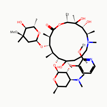 CCOc1ncccc1O[C@H]1[C@H](O[C@@H]2[C@@H](C)[C@H](O[C@H]3C[C@@](C)(OC)[C@@H](O)[C@H](C)O3)[C@@H](C)C(=O)O[C@H](CC)[C@@](C)(O)[C@H](O)[C@@H](C)N(C)C[C@H](C)C[C@@]2(C)O)O[C@H](C)C[C@@H]1N(C)C